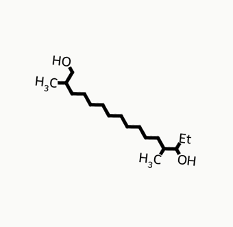 CCC(O)C(C)CCCCCCCCCCC(C)CO